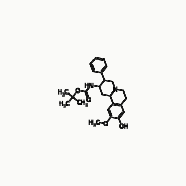 COc1cc2c(cc1O)CCN1CC(c3ccccc3)C(NC(=O)OC(C)(C)C)CC21